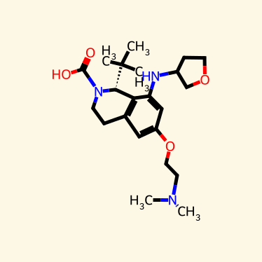 CN(C)CCOc1cc2c(c(NC3CCOC3)c1)[C@@H](C(C)(C)C)N(C(=O)O)CC2